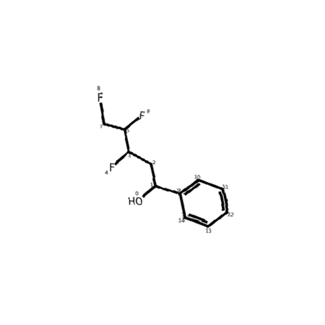 OC(CC(F)C(F)CF)c1ccccc1